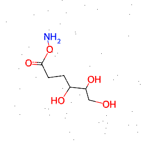 NOC(=O)CCC(O)C(O)CO